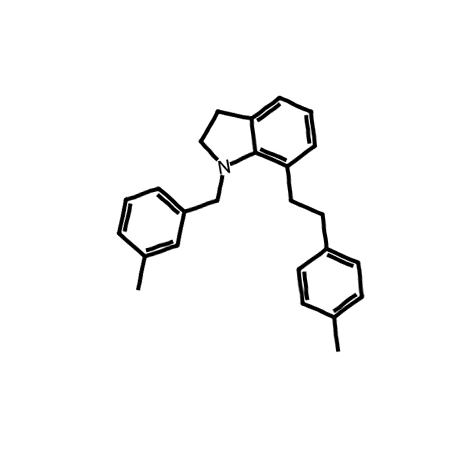 Cc1ccc(CCc2cccc3c2N(Cc2cccc(C)c2)CC3)cc1